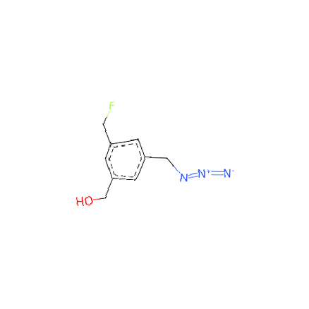 [N-]=[N+]=NCc1cc(CO)cc(CF)c1